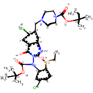 CC[S+]([O-])c1ccc(Cl)cc1N(C(=O)OC(C)(C)C)n1cnc2cc(CN3CCN(C(=O)OC(C)(C)C)CC3)c(Br)cc2c1=O